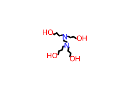 OCCCCN(CCCCO)CCN(CCCCO)CCCCO